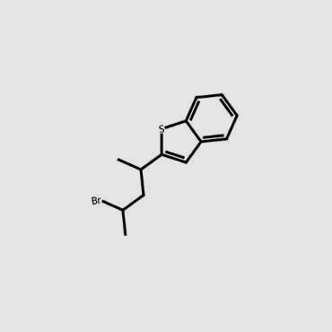 CC(Br)CC(C)c1cc2ccccc2s1